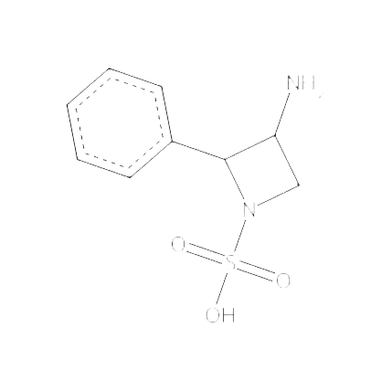 NC1CN(S(=O)(=O)O)C1c1ccccc1